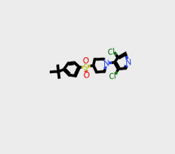 CC(C)(C)c1ccc(S(=O)(=O)C2CCN(c3c(Cl)cncc3Cl)CC2)cc1